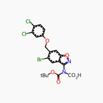 CC(C)(C)OC(=O)N(C(=O)O)c1noc2cc(COc3ccc(Cl)c(Cl)c3)c(Br)cc12